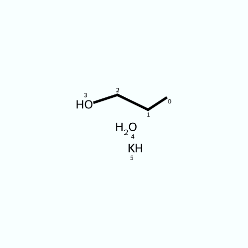 CCCO.O.[KH]